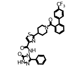 O=C(Nn1c(-c2ccccc2)n[nH]c1=O)c1csc(C2CCN(C(=O)c3ccccc3-c3ccc(C(F)(F)F)cc3)CC2)n1